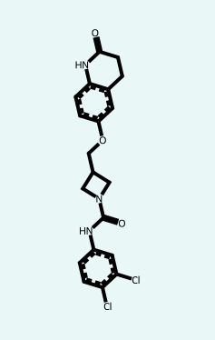 O=C1CCc2cc(OCC3CN(C(=O)Nc4ccc(Cl)c(Cl)c4)C3)ccc2N1